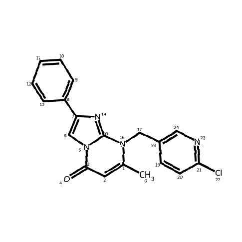 Cc1cc(=O)n2cc(-c3ccccc3)nc2n1Cc1ccc(Cl)nc1